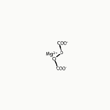 O=C([O-])OOC(=O)[O-].[Mg+2]